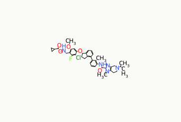 CCOc1cc(OC2CCc3c(-c4cccc(NC(=O)c5nc6c(n5C)CCN(C(C)C)C6)c4C)cccc32)c(Cl)c(F)c1CNOC(=O)C1CC1